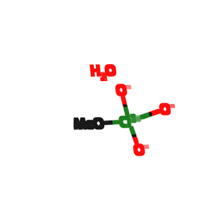 CO[Cl+3]([O-])([O-])[O-].O